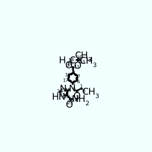 CCC(=O)N(c1ccc(C(=O)OC(C)(C)C)cc1)c1nc[nH]c1C(N)=O